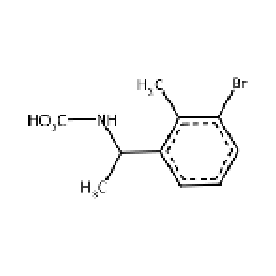 Cc1c(Br)cccc1C(C)NC(=O)O